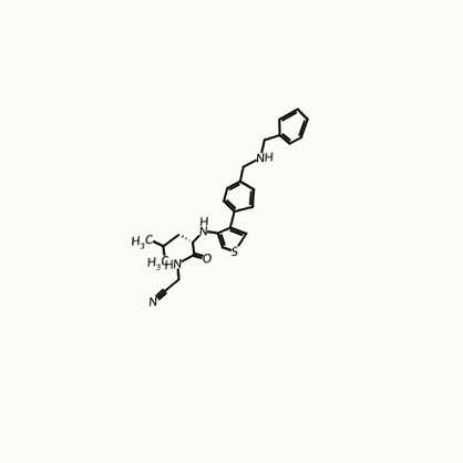 CC(C)C[C@H](Nc1cscc1-c1ccc(CNCc2ccccc2)cc1)C(=O)NCC#N